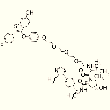 Cc1ncsc1-c1ccc([C@H](C)NC(=O)[C@@H]2C[C@@H](O)CN2C(=O)C(NC(=O)COCCOCCOCCOc2ccc(Oc3c(-c4ccc(F)cc4)sc4cc(O)ccc34)cc2)C(C)(C)C)cc1